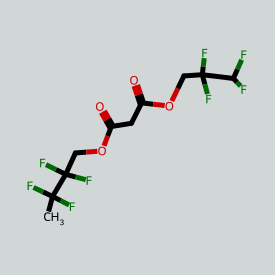 CC(F)(F)C(F)(F)COC(=O)CC(=O)OCC(F)(F)C(F)F